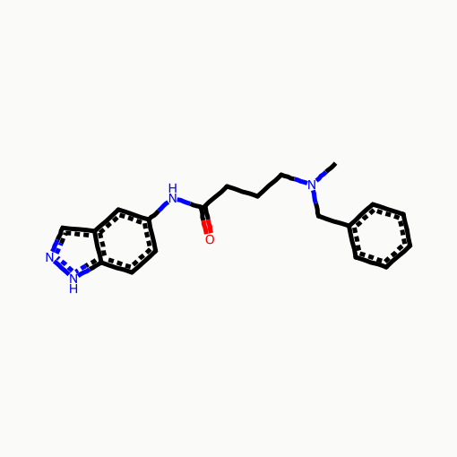 CN(CCCC(=O)Nc1ccc2[nH]ncc2c1)Cc1ccccc1